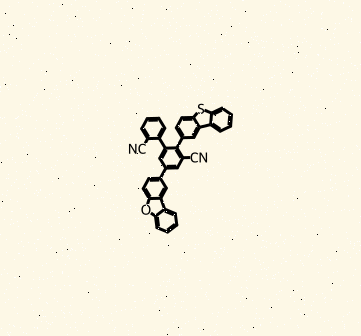 N#Cc1ccccc1-c1cc(-c2ccc3oc4ccccc4c3c2)cc(C#N)c1-c1ccc2sc3ccccc3c2c1